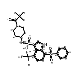 CC(C)(C)C(=O)N1CCC(NS(=O)(=O)c2c[nH]c3c(S(=O)(=O)c4ccccc4)ccc(C(F)(F)F)c23)CC1